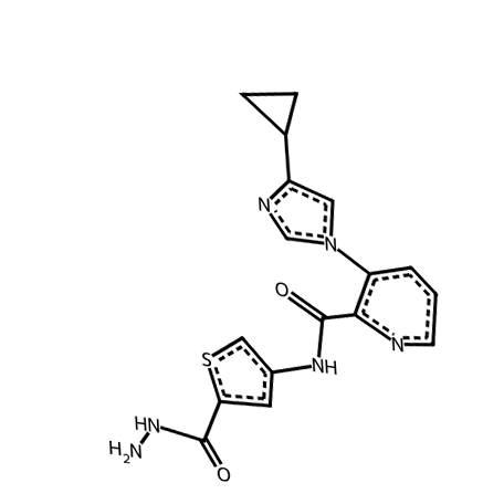 NNC(=O)c1cc(NC(=O)c2ncccc2-n2cnc(C3CC3)c2)cs1